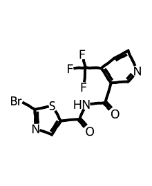 O=C(NC(=O)c1cnccc1C(F)(F)F)c1cnc(Br)s1